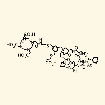 CC[C@H](NC(=O)[C@@H]1CCCN1C(=O)[C@@H]1CCCN1C(=O)C(/C=N/C(=O)CCC(C)C)CSCc1cc(CSCCNC(=O)CN2CCN(CC(=O)O)CCN(CC(=O)O)CCN(CC(=O)O)CC2)cc(CSCCC(=O)O)c1)C(=O)N[C@@H](CCC(N)=O)C(=O)N[C@@H](Cc1ccccc1)C(C)=O